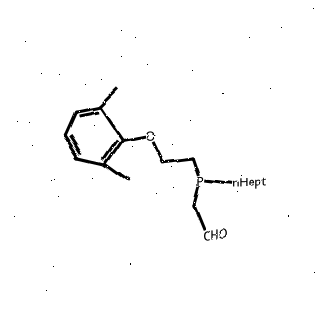 CCCCCCCP(CC=O)CCOc1c(C)cccc1C